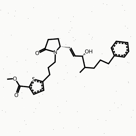 COC(=O)c1ccc(CCCN2C(=O)CC[C@@H]2/C=C/[C@H](O)C(C)CCCc2ccccc2)s1